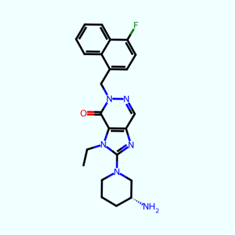 CCn1c(N2CCC[C@@H](N)C2)nc2cnn(Cc3ccc(F)c4ccccc34)c(=O)c21